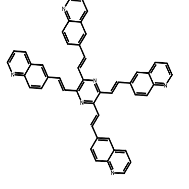 C(=Cc1nc(C=Cc2ccc3ncccc3c2)c(C=Cc2ccc3ncccc3c2)nc1C=Cc1ccc2ncccc2c1)c1ccc2ncccc2c1